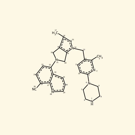 Cc1nc(N2CCNCC2)ccc1Cn1nc(C)c2c1CN(c1ccc(C#N)c3ncccc13)C2